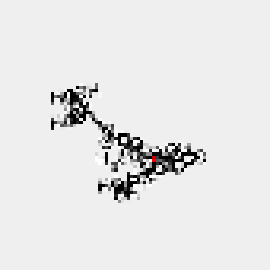 COc1cc(C(=O)OCCCCC(CON(O)O)ON(O)O)ccc1OC(=O)OCC(=O)[C@@]1(OC(=O)CCCON(O)O)[C@@H](C)CC2C3CCC4=CC(=O)C=C[C@]4(C)[C@@]3(F)[C@@H](O)C[C@@]21C